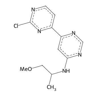 COCC(C)Nc1cc(-c2ccnc(Cl)n2)ncn1